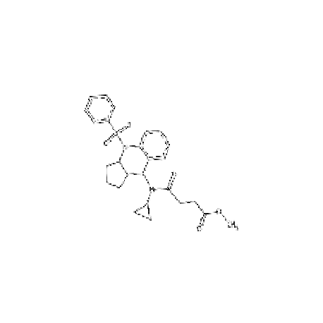 COC(=O)CCC(=O)N(C1CC1)C1c2ccccc2N(S(=O)(=O)c2ccccc2)C2CCCC12